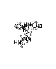 Cc1nc2ccc(-c3cc(Nc4ccc(Cl)cc4)nc(N4CCOCC4)n3)cc2n1C(C)C1CCCN1